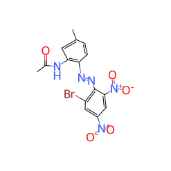 CC(=O)Nc1cc(C)ccc1N=Nc1c(Br)cc([N+](=O)[O-])cc1[N+](=O)[O-]